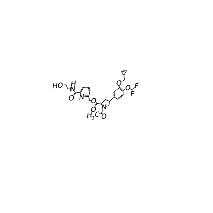 CC(=O)N1CC(c2ccc(OC(F)F)c(OCC3CC3)c2)C[C@@H]1C(=O)OCc1cccc(C(=O)NCCO)n1